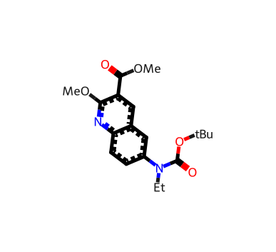 CCN(C(=O)OC(C)(C)C)c1ccc2nc(OC)c(C(=O)OC)cc2c1